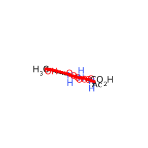 CC=C(O)CCCCCCCCCCCCCCCCC(=O)NCCOCCOCC(=O)NCCOCCOCC(=O)N[C@@H](CCC(C)=O)C(=O)O